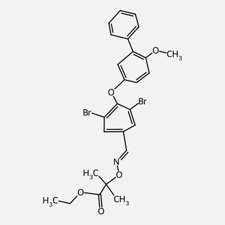 CCOC(=O)C(C)(C)ON=Cc1cc(Br)c(Oc2ccc(OC)c(-c3ccccc3)c2)c(Br)c1